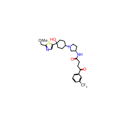 COCc1ncc(C2(O)CCC(N3CC[C@@H](NC(=O)CCC(=O)c4cccc(C(F)(F)F)c4)C3)CC2)s1